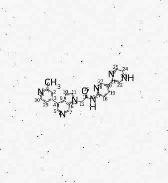 Cc1cc(-c2cncc3c2ccn3CC(=O)Nc2ccc(C3=CNCC=N3)cn2)ccn1